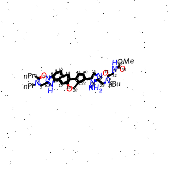 CCCC(=O)N(CCC)Cc1nc2ccc3cc4c(cc3c2[nH]1)OCc1cc(-c2cnc(CN(C(=O)CNC(=O)OC)[C@@H](C)CC)n2N)ccc1-4